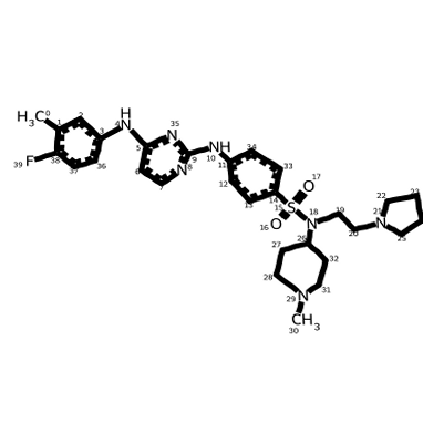 Cc1cc(Nc2ccnc(Nc3ccc(S(=O)(=O)N(CCN4CCCC4)C4CCN(C)CC4)cc3)n2)ccc1F